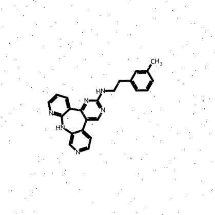 Cc1cccc(CCNc2ncc3c(n2)-c2cccnc2Nc2cnccc2-3)c1